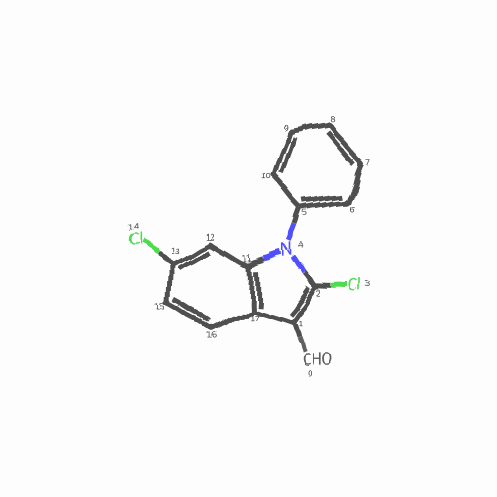 O=Cc1c(Cl)n(-c2ccccc2)c2cc(Cl)ccc12